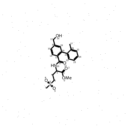 COC(=O)C(CCS(C)(=O)=O)NC(=O)c1ccc(CO)cc1-c1ccccc1C